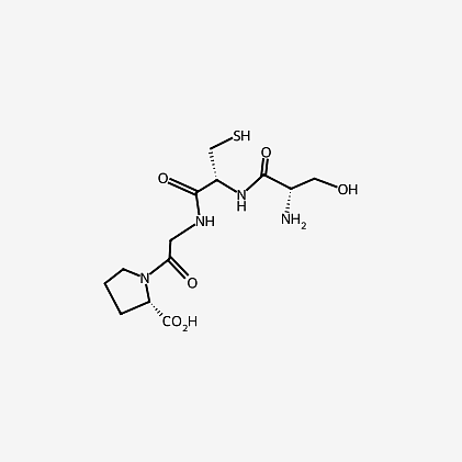 N[C@@H](CO)C(=O)N[C@@H](CS)C(=O)NCC(=O)N1CCC[C@H]1C(=O)O